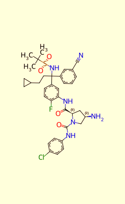 CC(C)(C)S(=O)(=O)NC(CCC1CC1)(c1cccc(C#N)c1)c1ccc(F)c(NC(=O)[C@H]2C[C@@H](N)CN2C(=O)Nc2ccc(Cl)cc2)c1